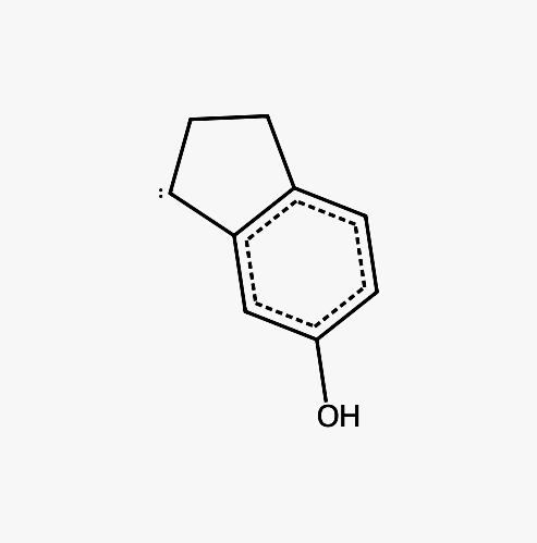 Oc1ccc2c(c1)[C]CC2